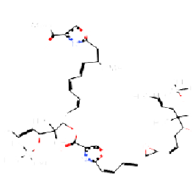 C/C=C/[C@H](O[Si](C)(C)C(C)(C)C)C(C)(C)[C@H](C\C=C/C=C\C=C\[C@@H](Cc1nc(C(=O)OC)co1)OC)OC(=O)c1coc(/C=C\C=C\[C@@H]2O[C@@H]2/C=C\C[C@H](O)C(C)(C)[C@H](/C=C/C)O[Si](C)(C)C(C)(C)C)n1